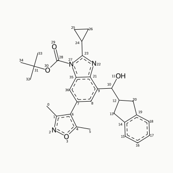 Cc1noc(C)c1-c1cc(C(O)C2Cc3ccccc3C2)c2nc(C3CC3)n(C(=O)OC(C)(C)C)c2c1